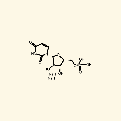 O=c1ccn([C@@H]2O[C@H](COP(=O)(O)O)[C@@H](O)[C@H]2O)c(=O)[nH]1.[NaH].[NaH]